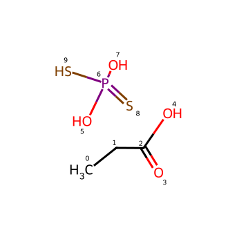 CCC(=O)O.OP(O)(=S)S